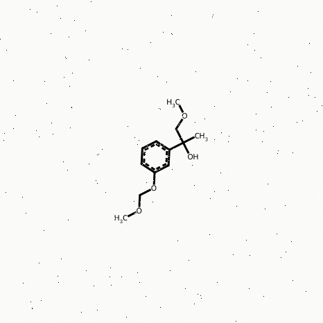 COCOc1cccc(C(C)(O)COC)c1